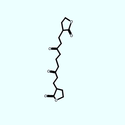 O=C(CCCC(=O)CCC1CCOC1=O)CCC1CCOC1=O